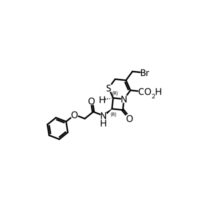 O=C(COc1ccccc1)N[C@@H]1C(=O)N2C(C(=O)O)=C(CBr)CS[C@H]12